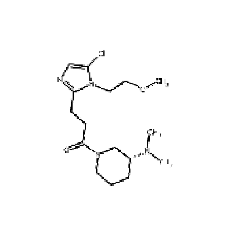 COCCn1c(Cl)cnc1CCC(=O)N1CCC[C@@H](N(C)C)C1